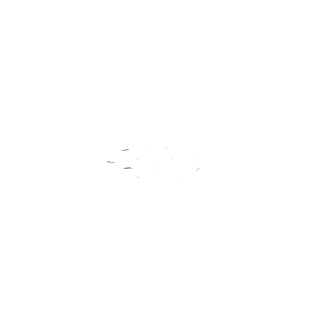 CCC(CC)OC(=O)O[C@]1(C(=O)O)CC[C@H]2[C@@H]3C[C@H](F)C4=CC(=O)C=C(C)[C@]4(C)[C@@]3(F)[C@@H](O)C[C@@]21C